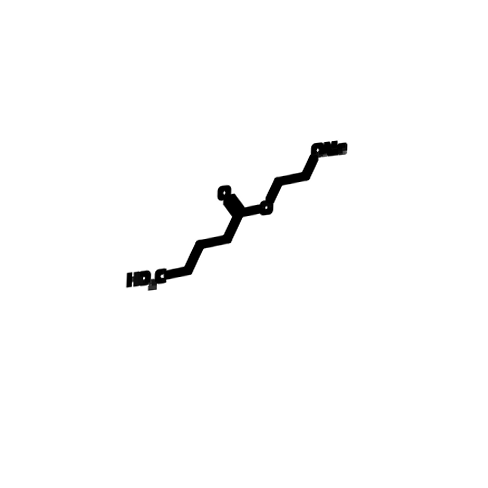 COCCOC(=O)CCCC(=O)O